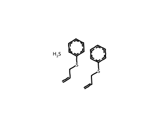 C=CCSc1ccccc1.C=CCSc1ccccc1.S